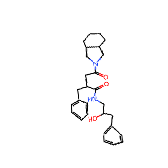 O=C(NCC(O)Cc1ccccc1)C(CC(=O)N1CC2CCCCC2C1)Cc1ccccc1